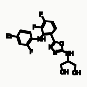 CCc1ccc(Nc2c(-c3nnc(NC(CO)CO)o3)ccc(F)c2F)c(F)c1